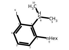 CCCCCCc1cccc(I)c1[SiH](C)C